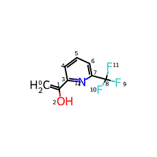 C=C(O)c1cccc(C(F)(F)F)n1